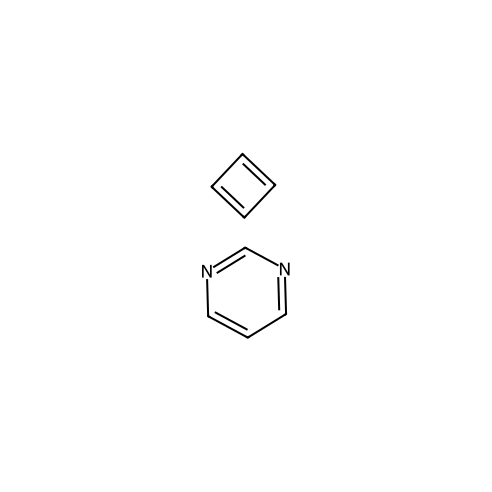 C1=CC=C1.c1cncnc1